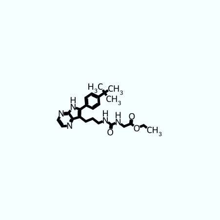 CCOC(=O)CNC(=O)NCCCc1c(-c2ccc(C(C)(C)C)cc2)[nH]c2nccnc12